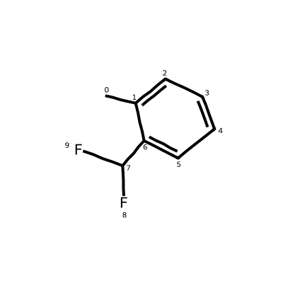 Cc1ccccc1C(F)F